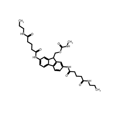 CCCNC(=O)CCCC(=O)Nc1ccc2c(c1)C(COC(=O)NC)c1cc(NC(=O)CCCC(=O)NCCC)ccc1-2